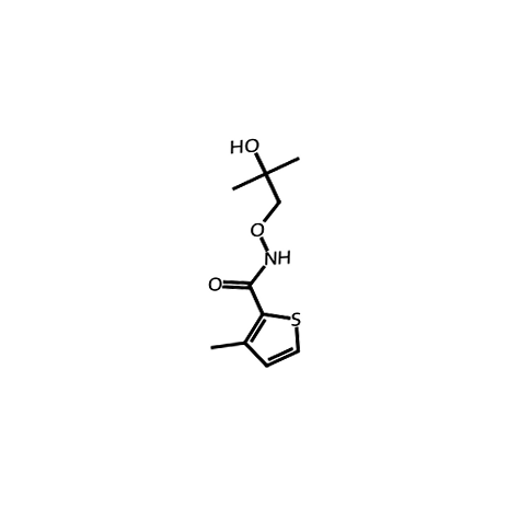 Cc1ccsc1C(=O)NOCC(C)(C)O